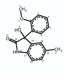 COc1ccccc1C1(O)C(=O)Nc2ccc(C)cc21